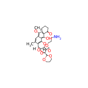 COc1c2c(c(O)c3c4c(c(C)cc13)[C@@H]1O[C@@]3(C5OCCCO5)O[C@@H]1[C@@](OCCCN)(O4)[C@@]31CO1)C(=O)CCC2